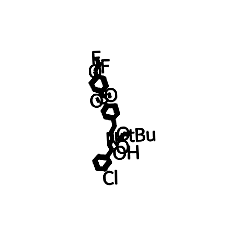 CC(C)(C)OC(=O)N(CCc1ccc(S(=O)(=O)c2ccc(OC(F)F)cc2)cc1)CC(O)c1cccc(Cl)c1